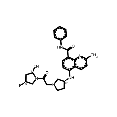 Cc1ccc2c(N[C@H]3CCN(CC(=O)N4C[C@@H](F)C[C@H]4C#N)C3)ccc(C(=O)Nc3ccccc3)c2n1